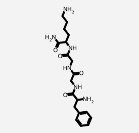 NCCCCC(NC(=O)CNC(=O)CNC(=O)C(N)Cc1ccccc1)C(N)=O